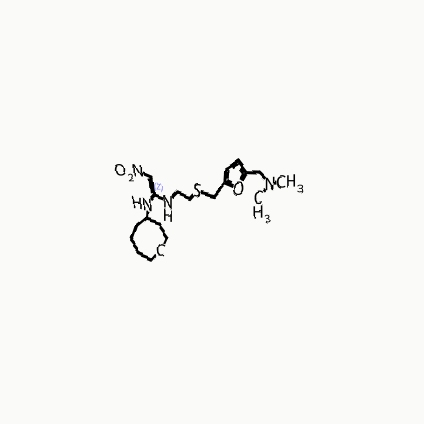 CN(C)Cc1ccc(CSCCN/C(=C/[N+](=O)[O-])NC2CCCCCCC2)o1